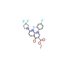 CCOC(=O)c1cn(-c2ccc(F)cc2F)c2nc(N3CCC(F)(F)C3)ccc2c1=O